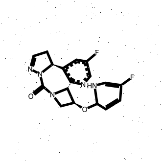 C[C@@H]1[C@@H](OC2C=CC(F)=CN2)CN1C(=O)N1N=CC[C@H]1c1cncc(F)c1